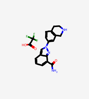 NC(=O)c1cccc2cn(-c3ccc4c(c3)CNCC4)nc12.O=C(O)C(F)(F)F